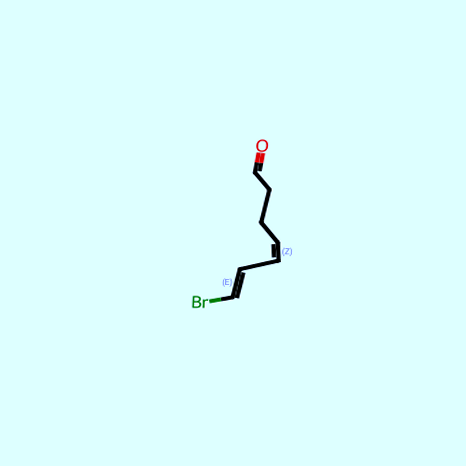 O=CCC/C=C\C=C\Br